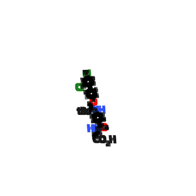 CC(C)(C)C(COc1ccc(-c2ccc(Cl)cc2Cl)cc1)Nc1ccc(C(=O)NCCC(=O)O)cc1